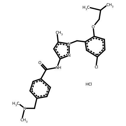 Cc1cc(NC(=O)c2ccc(CN(C)C)cc2)nn1Cc1cc(Cl)ccc1OCC(C)C.Cl